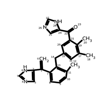 C=C(c1cnc[nH]1)c1cccc(C)c1Cc1cc(C)c(C)c(C(=O)c2cnc[nH]2)c1